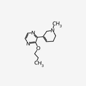 CCCOc1nccnc1C1=CCCN(C)C1